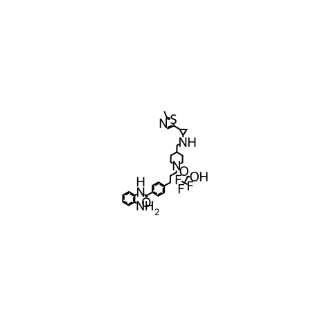 Cc1ncc(C2CC2NCC2CCN(CCCc3ccc(C(=O)Nc4ccccc4N)cc3)CC2)s1.O=C(O)C(F)(F)F